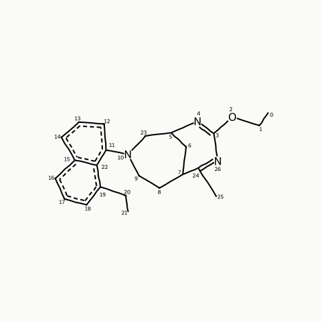 CCOC1=NC2CC(CCN(c3cccc4cccc(CC)c34)C2)C(C)=N1